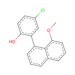 COc1cccc2cccc(-c3cc(Cl)ccc3O)c12